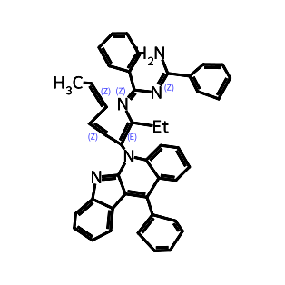 C\C=C/C=C\C(=C(CC)/N=C(\N=C(/N)c1ccccc1)c1ccccc1)n1c2nc3ccccc3c-2c(-c2ccccc2)c2ccccc21